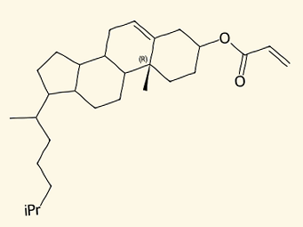 C=CC(=O)OC1CC[C@@]2(C)C(=CCC3C4CCC(C(C)CCCC(C)C)C4CCC32)C1